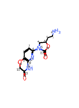 NCCC1CN(c2ccc3c(n2)NC(=O)CO3)C(=O)O1